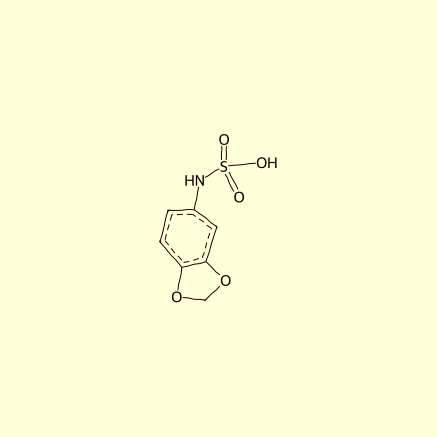 O=S(=O)(O)Nc1ccc2c(c1)OCO2